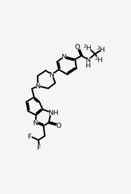 [2H]C([2H])([2H])NC(=O)c1ccc(N2CCN(Cc3ccc4nc(CC(F)F)c(=O)[nH]c4c3)CC2)cn1